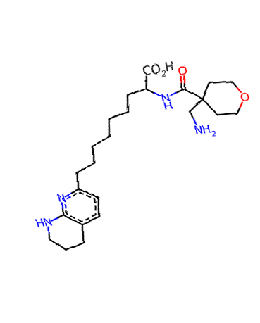 NCC1(C(=O)NC(CCCCCCCc2ccc3c(n2)NCCC3)C(=O)O)CCOCC1